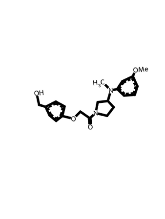 COc1cccc(N(C)C2CCN(C(=O)COc3ccc(CO)cc3)C2)c1